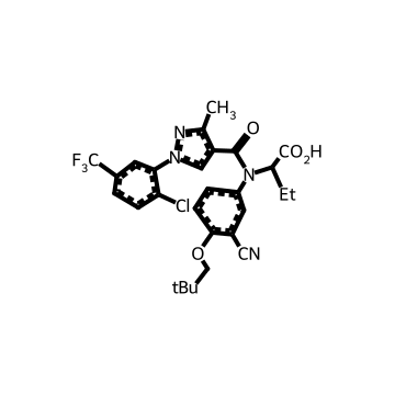 CCC(C(=O)O)N(C(=O)c1cn(-c2cc(C(F)(F)F)ccc2Cl)nc1C)c1ccc(OCC(C)(C)C)c(C#N)c1